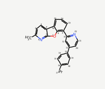 Cc1ccc2c(n1)oc1c(-c3cc(-c4ccc(C(C)C)cc4)ccn3)cccc12